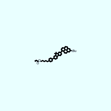 C=CC(=O)OCCCCCc1ccc(-c2ccc3c(c2)C(C)(C)c2cc(C4=C5C=CC6=CC(C(C)(C)C)=CC7=CC=C(C=C4)C5C76)ccc2-3)cc1